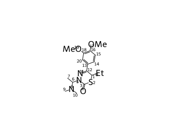 CCC1SC(=O)N(C(C)N(C)C)N=C1c1ccc(OC)c(OC)c1